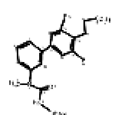 CCCCCCCNC(=O)N(C)c1cccc(-c2cc(F)c(CCC(=O)O)c(F)c2)c1